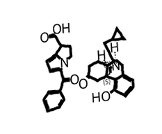 O=C(c1ccccc1)c1ccc2n1CCC2C(=O)O.O=C1CC[C@H]2[C@H]3Cc4cccc(O)c4[C@@]2(CCN3CC2CC2)C1